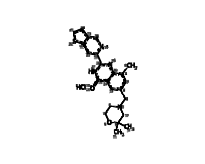 Cc1cc(CN2CCOC(C)(C)C2)cc2c(=O)[nH]c(-c3cc4sccc4cn3)nc12.Cl